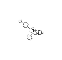 CN1OC(c2ccc(Cl)cc2)CC1(Cn1ccnc1)c1ccco1